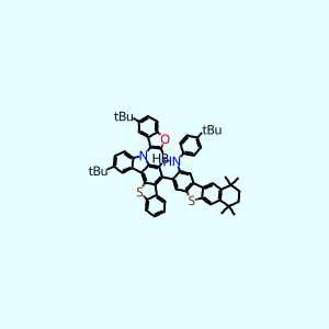 CC(C)(C)c1ccc(Nc2cc3c(cc2-c2c4c5c(c6cc(C(C)(C)C)ccc6n5-c5c(oc6ccc(C(C)(C)C)cc56)B4)c4sc5ccccc5c24)sc2cc4c(cc23)C(C)(C)CCC4(C)C)cc1